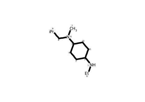 CCNC1CCC(N(C)CC(C)C)CC1